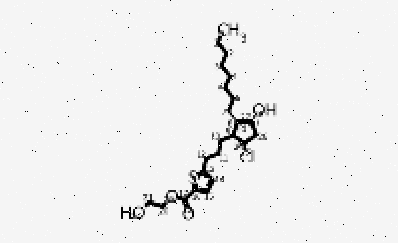 CCCCCCCC[C@@H]1C(CCCc2ccc(C(=O)OCCO)s2)[C@H](Cl)C[C@H]1O